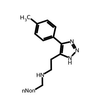 CCCCCCCCCCNCCc1[nH]nnc1-c1ccc(C)cc1